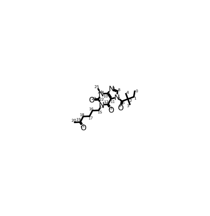 CCC(C)(C)C(=O)n1cnc2c1c(=O)n(CCCCC(C)=O)c(=O)n2C